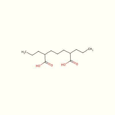 CCCC(CCCC(CCC)C(=O)O)C(=O)O